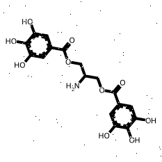 NC(COC(=O)c1cc(O)c(O)c(O)c1)COC(=O)c1cc(O)c(O)c(O)c1